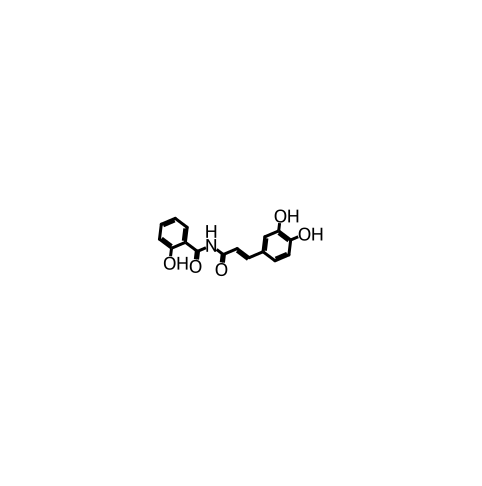 O=C(C=Cc1ccc(O)c(O)c1)NC(=O)c1ccccc1O